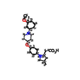 C[C@@H]1C[C@H](CC(=O)O)N(c2ccc(OC3CCN(c4cccc(OC(F)(F)F)c4)CC3)cc2)C1